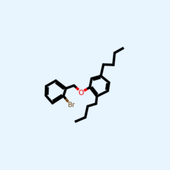 CCCCc1ccc(CCCC)c(OCc2ccccc2Br)c1